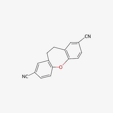 N#Cc1ccc2c(c1)CCc1cc(C#N)ccc1O2